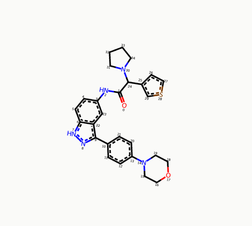 O=C(Nc1ccc2[nH]nc(-c3ccc(N4CCOCC4)cc3)c2c1)C(c1ccsc1)N1CCCC1